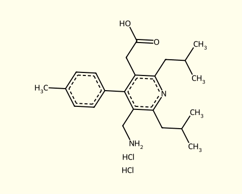 Cc1ccc(-c2c(CN)c(CC(C)C)nc(CC(C)C)c2CC(=O)O)cc1.Cl.Cl